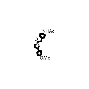 COc1ccc(C2CCN(C(=O)Cc3ccc(NC(C)=O)cc3)C2)cc1